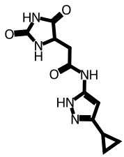 O=C(CC1NC(=O)NC1=O)Nc1cc(C2CC2)n[nH]1